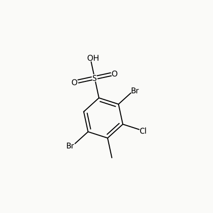 Cc1c(Br)cc(S(=O)(=O)O)c(Br)c1Cl